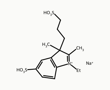 CC[N+]1=C(C)C(C)(CCCS(=O)(=O)O)c2cc(S(=O)(=O)O)ccc21.[Na+]